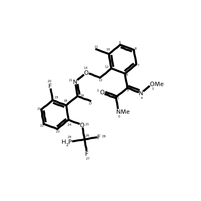 CNC(=O)/C(=N/OC)c1cccc(C)c1CO/N=C(\C)c1c(F)cccc1OC(F)(F)P